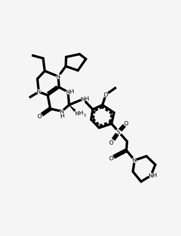 CCC1CN(C)C2=C(N[C@](N)(Nc3ccc(S(=O)(=O)CC(=O)N4CCNCC4)cc3OC)NC2=O)N1C1CCCC1